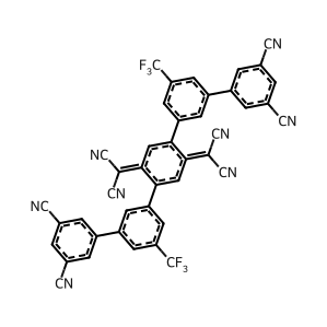 N#CC(C#N)=c1cc(-c2cc(-c3cc(C#N)cc(C#N)c3)cc(C(F)(F)F)c2)c(=C(C#N)C#N)cc1-c1cc(-c2cc(C#N)cc(C#N)c2)cc(C(F)(F)F)c1